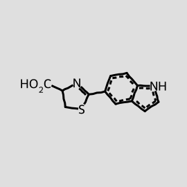 O=C(O)C1CSC(c2ccc3[nH]ccc3c2)=N1